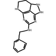 c1ccc(CNc2nc3c4c(n2)NNC4CCN3)cc1